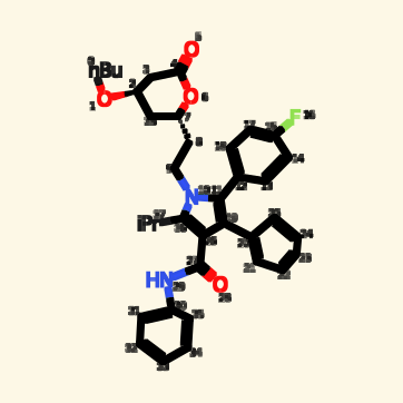 CCCCO[C@H]1CC(=O)O[C@H](CCn2c(-c3ccc(F)cc3)c(-c3ccccc3)c(C(=O)Nc3ccccc3)c2C(C)C)C1